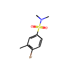 Cc1cc(S(=O)(=O)N(C)C)ccc1Br